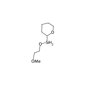 COCCO[SiH2]C1CCCCO1